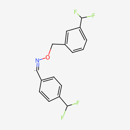 FC(F)c1ccc(/[C]=N\OCc2cccc(C(F)F)c2)cc1